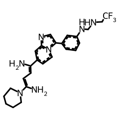 N/C(=C\C=C(/N)N1CCCCC1)c1ccn2c(-c3cccc(NCNCC(F)(F)F)c3)cnc2c1